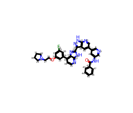 O=C(Nc1cncc(-c2cnc3[nH]nc(-c4nc5c(-c6cc(F)cc(OCCN7CCCC7)c6)ccnc5[nH]4)c3c2)c1)c1ccccc1